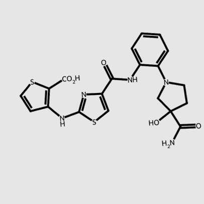 NC(=O)C1(O)CCN(c2ccccc2NC(=O)c2csc(Nc3ccsc3C(=O)O)n2)C1